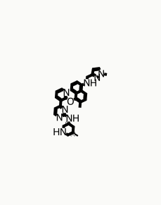 Cc1ccc2c(NCc3ccn(C)n3)cccc2c1Oc1ncccc1-c1ccnc(N[C@@H]2CNC[C@H](C)C2)n1